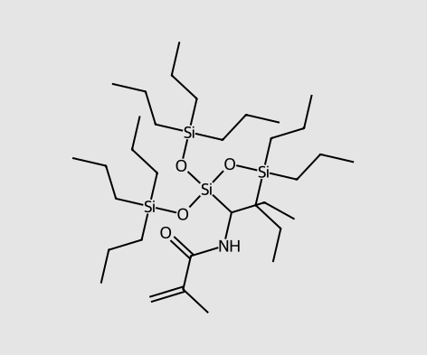 C=C(C)C(=O)NC(CC)[Si](O[Si](CCC)(CCC)CCC)(O[Si](CCC)(CCC)CCC)O[Si](CCC)(CCC)CCC